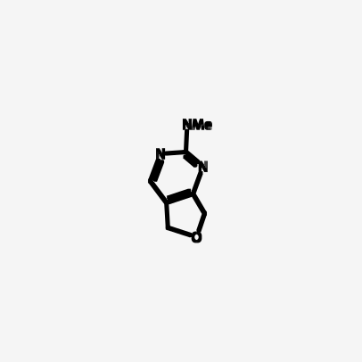 CNc1ncc2c(n1)COC2